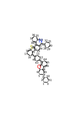 c1ccc(-c2ccc3oc4c(-c5ccc(-c6cccc7sc8c(ccc9c(-c%10ccccc%10)nc%10ccccc%10c98)c67)cc5)cccc4c3c2)cc1